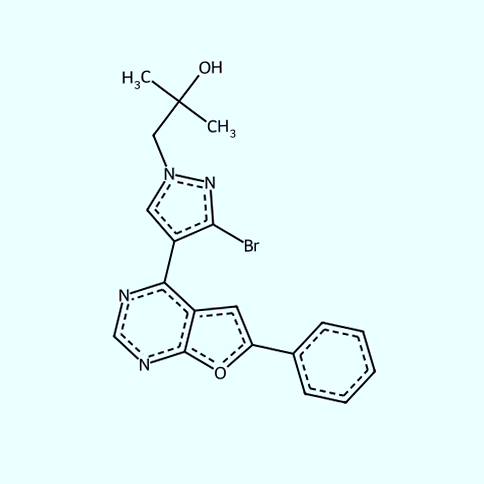 CC(C)(O)Cn1cc(-c2ncnc3oc(-c4ccccc4)cc23)c(Br)n1